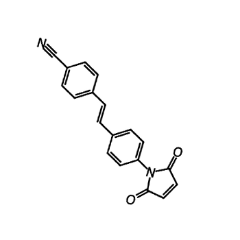 N#Cc1ccc(C=Cc2ccc(N3C(=O)C=CC3=O)cc2)cc1